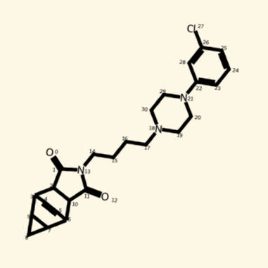 O=C1C2C3C=CC(C4CC34)C2C(=O)N1CCCCN1CCN(c2cccc(Cl)c2)CC1